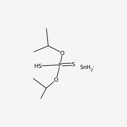 CC(C)OP(=S)(S)OC(C)C.[SnH2]